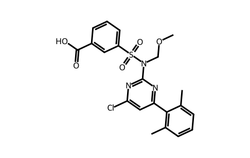 COCN(c1nc(Cl)cc(-c2c(C)cccc2C)n1)S(=O)(=O)c1cccc(C(=O)O)c1